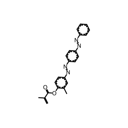 C=C(C)C(=O)Oc1ccc(/N=N/c2ccc(/N=N/c3ccccc3)cc2)cc1C